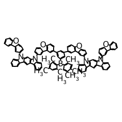 Cc1cc(C)c(B(c2cc(-c3ccc4oc5ccc(-n6c7ccccc7c7cc8c9ccccc9n(-c9ccc%10oc%11ccccc%11c%10c9)c8cc76)cc5c4c3)cc(-c3ccc4oc5ccc(-n6c7ccccc7c7cc8c9ccccc9n(-c9ccc%10oc%11ccccc%11c%10c9)c8cc76)cc5c4c3)c2)c2cc(C)c(C)cc2C)c(C)c1